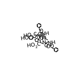 O=C(NCCCC[C@H](NC(=O)OCc1ccccc1)C(=O)NCC(CC1(C(=O)N[C@@H](Cc2ccc(O)cc2)C(=O)O)CCCC1)C(=O)O)OCc1ccccc1